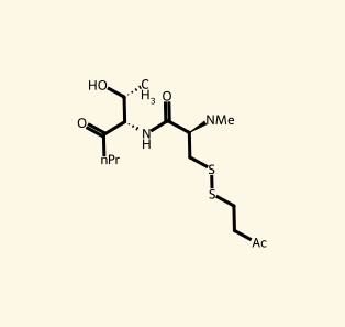 CCCC(=O)[C@@H](NC(=O)[C@H](CSSCCC(C)=O)NC)[C@@H](C)O